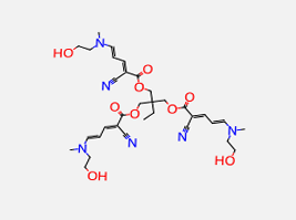 CCC(COC(=O)/C(C#N)=C/C=C/N(C)CCO)(COC(=O)/C(C#N)=C/C=C/N(C)CCO)COC(=O)/C(C#N)=C/C=C/N(C)CCO